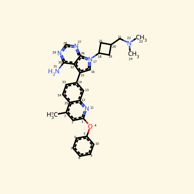 Cc1cc(Oc2ccccc2)nc2cc(-c3cn(C4CC(CN(C)C)C4)c4ncnc(N)c34)ccc12